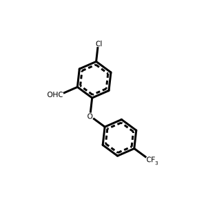 O=Cc1cc(Cl)ccc1Oc1ccc(C(F)(F)F)cc1